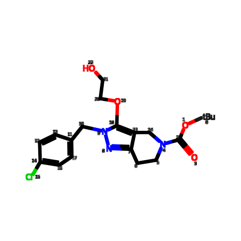 CC(C)(C)OC(=O)N1CCc2nn(Cc3ccc(Cl)cc3)c(OCCO)c2C1